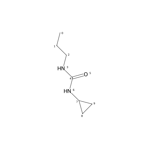 CCCNC(=O)NC1CC1